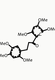 COc1cc(OC)c(OC)cc1CCC(=O)c1cc(OC)c(OC)cc1OC